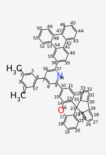 Cc1cc(C)cc(-c2cc(-c3ccc4c(c3)Oc3ccccc3C43c4ccccc4-c4ccccc43)nc(-c3ccc4c5ccccc5c5ccccc5c4c3)c2)c1